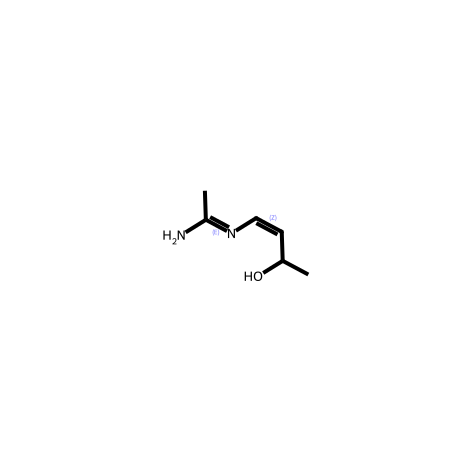 C/C(N)=N\C=C/C(C)O